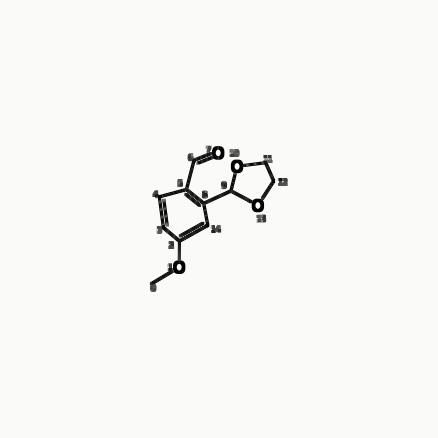 COc1ccc(C=O)c(C2OCCO2)c1